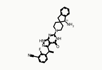 C=C(c1cccc(C#N)c1F)c1n[nH]c2nc(N3CCC4(CC3)Cc3ccccc3[C@H]4N)[nH]c(=O)c12